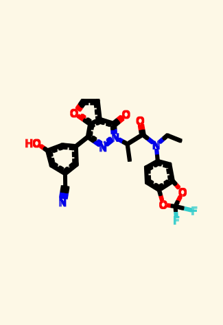 CCN(C(=O)C(C)n1nc(-c2cc(O)cc(C#N)c2)c2occc2c1=O)c1ccc2c(c1)OC(F)(F)O2